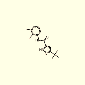 Cc1cccc(NC(=O)c2cc(C(C)(C)C)n[nH]2)c1C